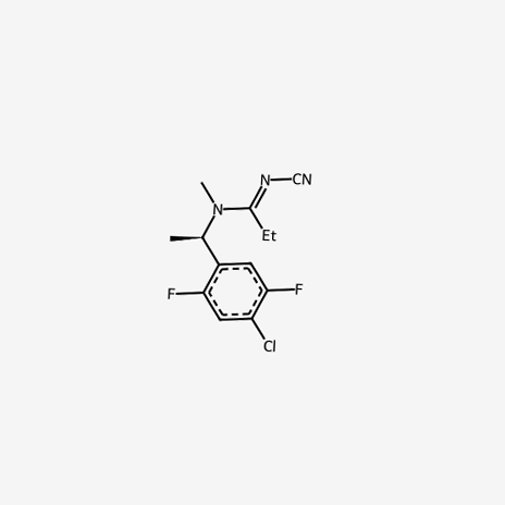 CC/C(=N\C#N)N(C)[C@H](C)c1cc(F)c(Cl)cc1F